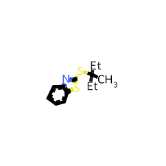 CCC(C)(CC)Sc1nc2ccccc2s1